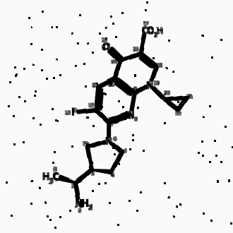 C[C@H](N)[C@@H]1CCN(c2nc3c(cc2F)c(=O)c(C(=O)O)cn3C2CC2)C1